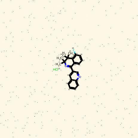 CC1(C)N=C(c2cnc3ccccc3c2)c2cccc(F)c2C1(C)C.Cl